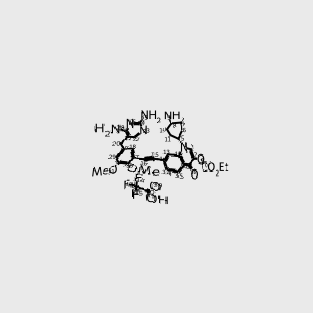 CCOC(=O)Oc1cn([C@H]2CC[C@H](N)CC2)c2cc(C#Cc3cc(Cc4cnc(N)nc4N)cc(OC)c3OC)ccc2c1=O.O=C(O)C(F)(F)F